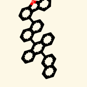 c1ccc2cc(-c3c4ccccc4c(-c4cccc5c(-c6cccc7oc8ccccc8c67)cccc45)c4ccccc34)ccc2c1